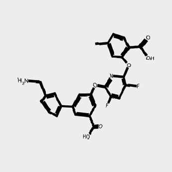 Cc1ccc(C(=O)O)c(Oc2nc(Oc3cc(C(=O)O)cc(-c4cccc(CN)c4)c3)c(F)cc2F)c1